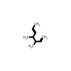 C=CC(C)C(C)C=CC